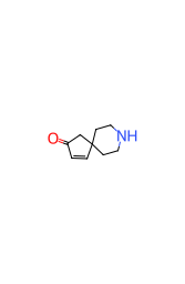 O=C1C=CC2(CCNCC2)C1